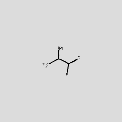 CC(C)C(C(F)F)C(F)(F)F